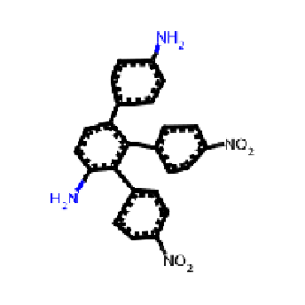 Nc1ccc(-c2ccc(N)c(-c3ccc([N+](=O)[O-])cc3)c2-c2ccc([N+](=O)[O-])cc2)cc1